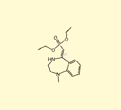 CCOP(=O)(/C=C1\NCCN(C)c2ccccc21)OCC